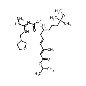 CN/C(=N/[N+](=O)[O-])NCC1CCOC1.COC(C)(C)CCCC(C)C/C=C/C(C)=C/C(=O)OC(C)C